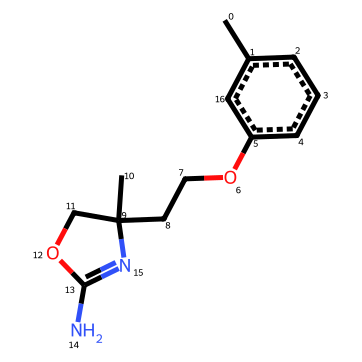 Cc1cccc(OCCC2(C)COC(N)=N2)c1